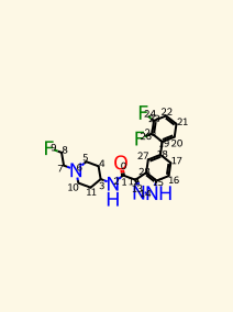 O=C(NC1CCN(CCF)CC1)c1n[nH]c2ccc(-c3cccc(F)c3F)cc12